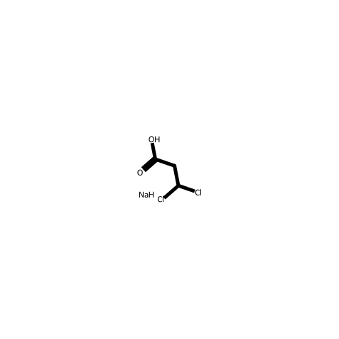 O=C(O)CC(Cl)Cl.[NaH]